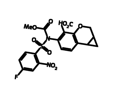 COC(=O)N(c1ccc2c(c1C(=O)O)OCC1CC21)S(=O)(=O)c1ccc(F)cc1[N+](=O)[O-]